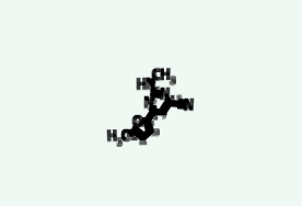 CNc1nc(C#N)cc(-c2ccc(C)o2)n1